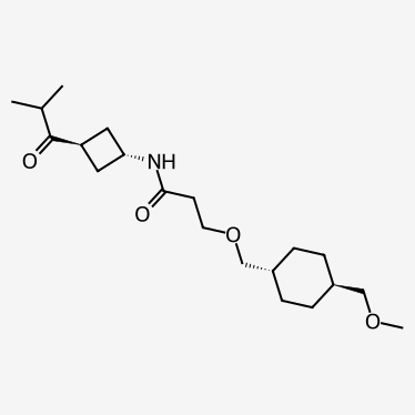 COC[C@H]1CC[C@H](COCCC(=O)N[C@H]2C[C@H](C(=O)C(C)C)C2)CC1